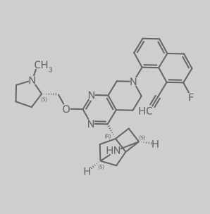 C#Cc1c(F)ccc2cccc(N3CCc4c(nc(OC[C@@H]5CCCN5C)nc4[C@@]45C[C@@H]6CC4[C@H](C5)N6)C3)c12